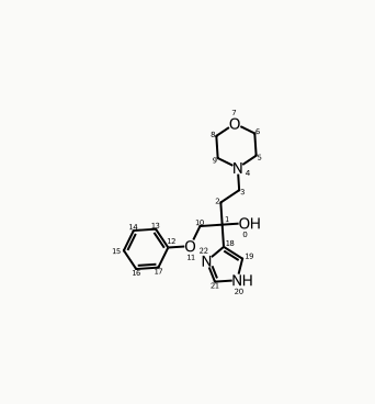 OC(CCN1CCOCC1)(COc1ccccc1)c1c[nH]cn1